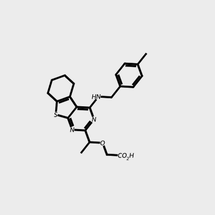 Cc1ccc(CNc2nc(C(C)OCC(=O)O)nc3sc4c(c23)CCCC4)cc1